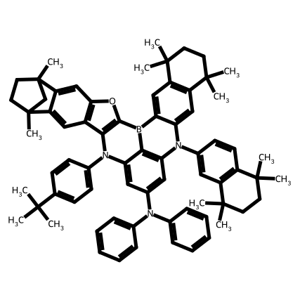 CC(C)(C)c1ccc(N2c3cc(N(c4ccccc4)c4ccccc4)cc4c3B(c3cc5c(cc3N4c3ccc4c(c3)C(C)(C)CCC4(C)C)C(C)(C)CCC5(C)C)c3oc4cc5c(cc4c32)C2(C)CCC5(C)C2)cc1